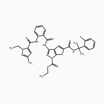 CCOC(=O)n1nc(NC(=O)c2ccccc2NC(=O)c2cc(C)nn2CC)c2cc(C(=O)NC(C)(C)c3ccccc3F)sc21